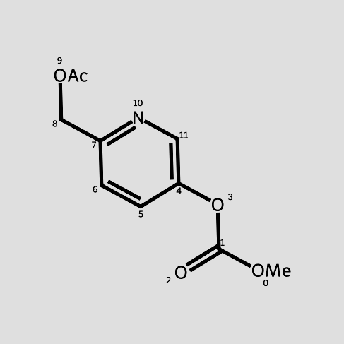 COC(=O)Oc1ccc(COC(C)=O)nc1